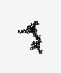 CC(=O)N[C@@H](CCCCN)C(=O)N[C@H](C(=O)N[C@@H](CCCNC(N)=O)C(=O)Nc1ccc(COC(=O)N(C)CCN(C)C(=O)Oc2cc3c(c4c(C)csc24)[C@H](CCl)CN3C(=O)CCCC(=O)I)cc1)C(C)C